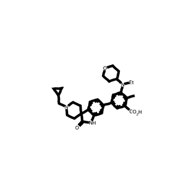 CCN(c1cc(-c2ccc3c(c2)NC(=O)C32CCN(CC3CC3)CC2)cc(C(=O)O)c1C)C1CCOCC1